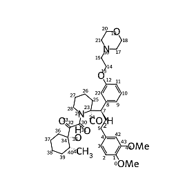 COc1ccc(CC[C@H](c2cccc(OCCN3CCOCC3)c2)[C@]2(C(=O)O)CCCCN2C(=O)C(=O)[C@]2(O)CCCC[C@H]2C)cc1OC